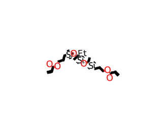 C=CC(=O)OCCC[Si](C)(C)OC(C)(CC)[Si](C)(C)OC(C)[Si](C)(C)CCCOC(=O)C=C